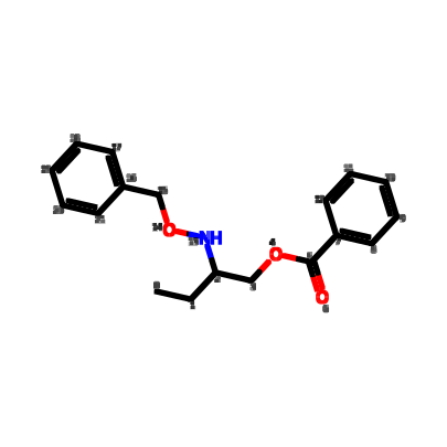 CCC(COC(=O)c1ccccc1)NOCc1ccccc1